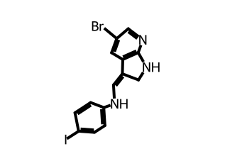 Brc1cnc2c(c1)C(=CNc1ccc(I)cc1)CN2